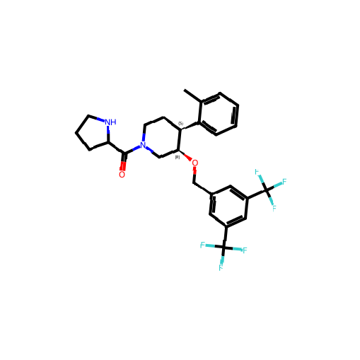 Cc1ccccc1[C@@H]1CCN(C(=O)C2CCCN2)C[C@@H]1OCc1cc(C(F)(F)F)cc(C(F)(F)F)c1